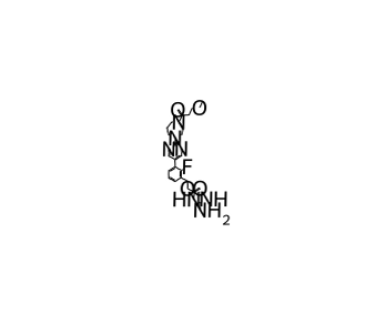 COCCC(=O)N1CCCN(c2ncc(-c3cccc(COC(=O)NC(=N)N)c3F)cn2)CC1